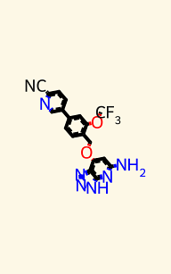 N#Cc1ccc(-c2ccc(COc3cc(N)nc4[nH]nnc34)c(OC(F)(F)F)c2)cn1